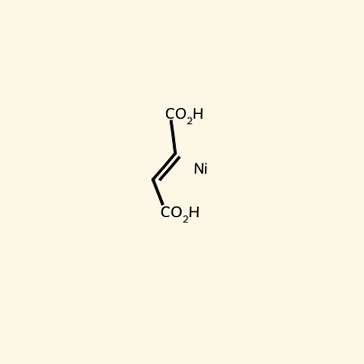 O=C(O)C=CC(=O)O.[Ni]